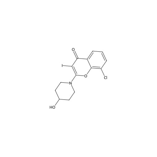 O=c1c(I)c(N2CCC(O)CC2)oc2c(Cl)cccc12